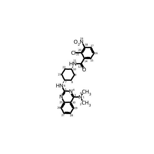 CN(C)c1nc(N[C@H]2CC[C@@H](NC(=O)c3cccc([N+](=O)[O-])c3Cl)CC2)nc2ccccc12